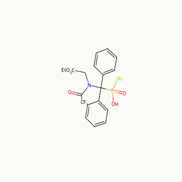 CCOC(=O)CN(C(=O)C(F)(F)F)C(c1ccccc1)(c1ccccc1)P(=O)(O)S